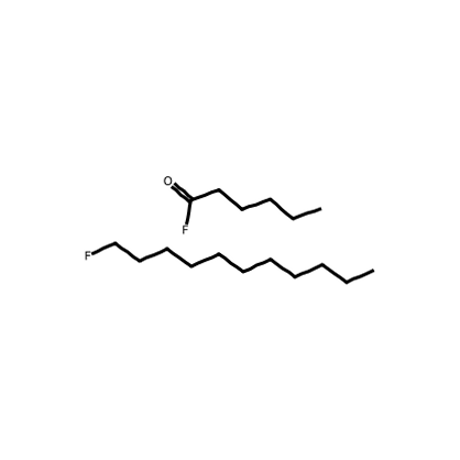 CCCCCC(=O)F.CCCCCCCCCCCF